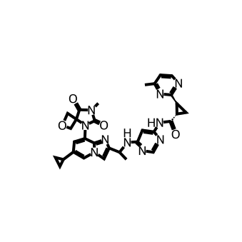 Cc1ccnc([C@H]2C[C@@H]2C(=O)Nc2cc(NC(C)c3cn4cc(C5CC5)cc(N5C(=O)N(C)C(=O)C56COC6)c4n3)ncn2)n1